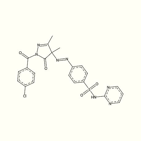 CC1=NN(C(=O)c2ccc(Cl)cc2)C(=O)C1(C)/N=N/c1ccc(S(=O)(=O)Nc2ncccn2)cc1